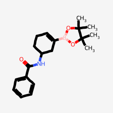 CC1(C)OB(C2=CCCC(NC(=O)c3ccccc3)C2)OC1(C)C